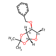 CC[C@H]1O[C@@H]2OC(C)(C)O[C@@H]2[C@H]1OCc1ccccc1